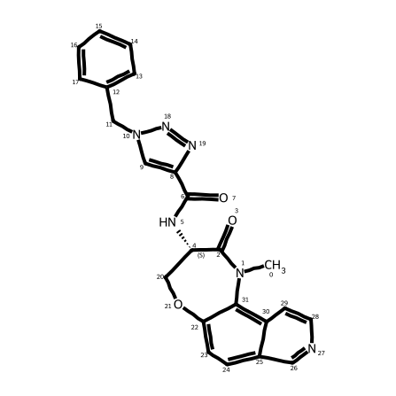 CN1C(=O)[C@@H](NC(=O)c2cn(Cc3ccccc3)nn2)COc2ccc3cnccc3c21